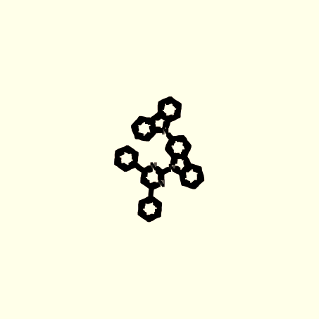 c1ccc(-c2cc(-c3ccccc3)nc(-n3c4ccccc4c4ccc(-n5c6ccccc6c6ccccc65)cc43)n2)cc1